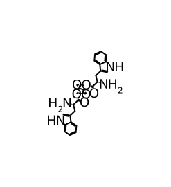 N[C@@H](Cc1c[nH]c2ccccc12)C(=O)OS(=O)(=O)OC(=O)[C@@H](N)Cc1c[nH]c2ccccc12